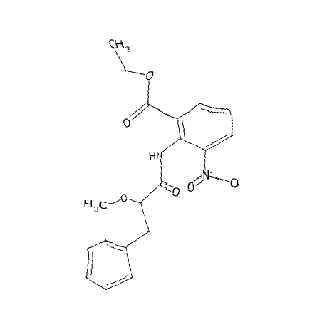 CCOC(=O)c1cccc([N+](=O)[O-])c1NC(=O)C(Cc1ccccc1)OC